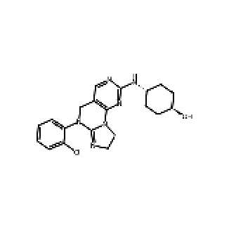 O[C@H]1CC[C@H](Nc2ncc3c(n2)N2CCN=C2N(c2ccccc2Cl)C3)CC1